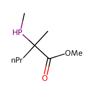 CCCC(C)(PC)C(=O)OC